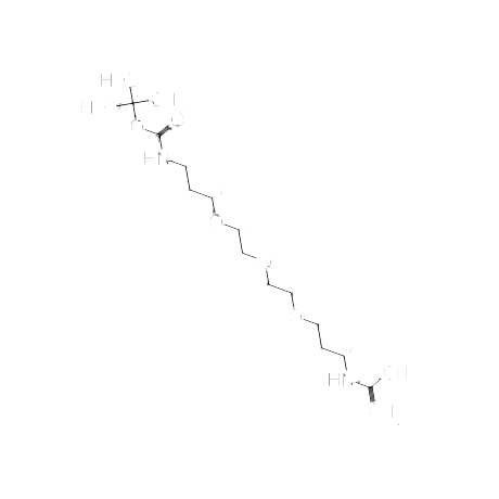 C=C(C)NCCCOCCOCCOCCCNC(=O)OC(C)(C)C